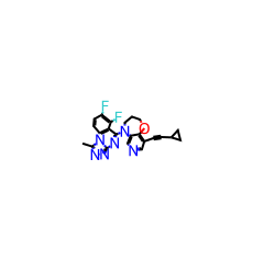 Cc1nnc2nc(N3CCCOc4c(C#CC5CC5)cncc43)c3c(F)c(F)ccc3n12